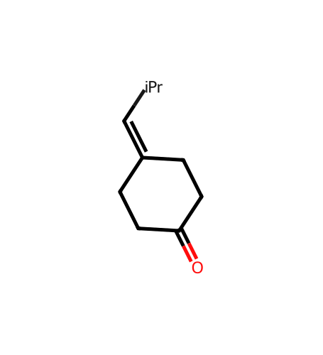 CC(C)C=C1CCC(=O)CC1